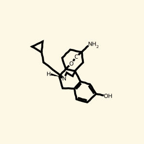 NC12CCC3(OC1)[C@H]1Cc4ccc(O)cc4C3(CCN1CC1CC1)C2